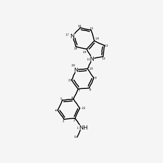 CNc1cccc(-c2ccc(-n3ccc4ccncc43)nc2)c1